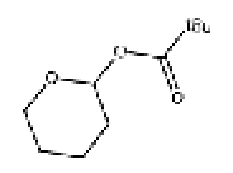 CC(C)(C)C(=O)OC1CCCCO1